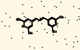 CC(C)(C)C1=CC(=CC=Cc2cc(C(C)(C)C)[s+]c(C(C)(C)C)c2)C=C(C(C)(C)C)[Se]1